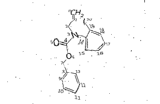 C=CCN(C(=O)OCc1ccccc1)c1ccccc1I